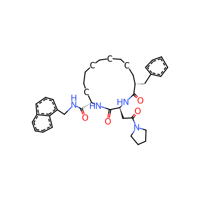 O=C1N[C@@H](CC(=O)N2CCCC2)C(=O)N[C@H](C(=O)NCc2cccc3ccccc23)CCCCCCCCC[C@@H]1Cc1ccccc1